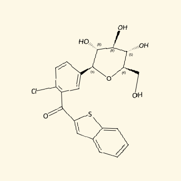 O=C(c1cc2ccccc2s1)c1cc([C@@H]2O[C@H](CO)[C@@H](O)[C@H](O)[C@H]2O)ccc1Cl